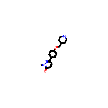 Cn1nc(-c2ccc(OCC3CCNCC3)cc2)ccc1=O